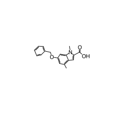 Cc1cc(OCc2ccccc2)cc2c1cc(C(=O)O)n2C